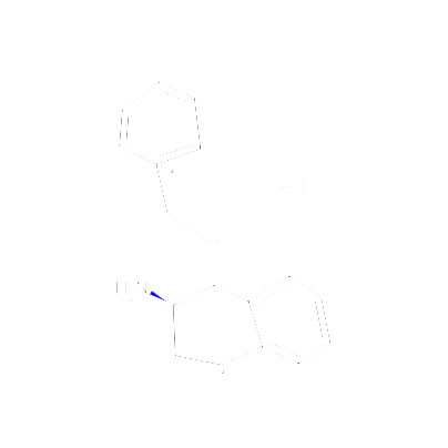 Cl.N[C@@H]1CCc2ccccc2[C@H]1CCc1ccccc1